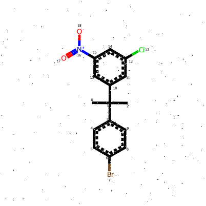 CC(C)(c1ccc(Br)cc1)c1cc(Cl)cc([N+](=O)[O-])c1